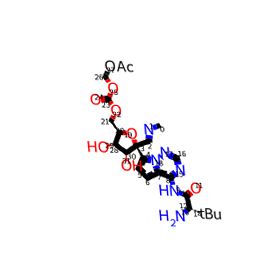 CN=C[C@@]1(c2ccc3c(NC(=O)[C@@H](N)C(C)(C)C)ncnn23)O[C@H](COC(=O)OCOC(C)=O)[C@@H](O)[C@H]1O